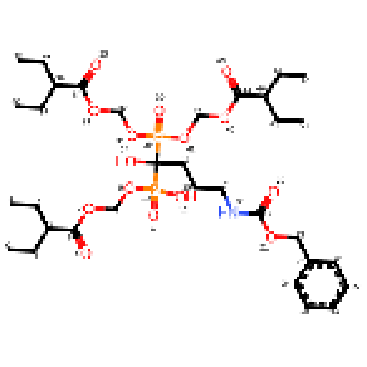 CCC(CC)C(=O)OCOP(=O)(O)C(O)(CCCNC(=O)OCc1ccccc1)P(=O)(OCOC(=O)C(CC)CC)OCOC(=O)C(CC)CC